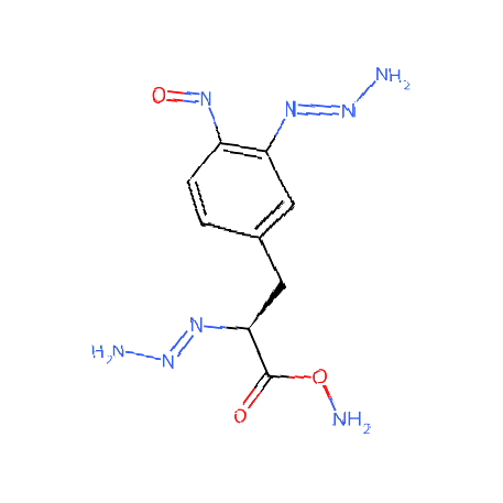 NN=Nc1cc(C[C@H](N=NN)C(=O)ON)ccc1N=O